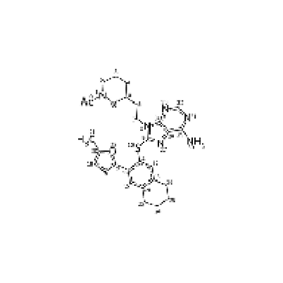 CC(=O)N1CCCC(CCn2c(Sc3cc4c(cc3-c3ccc(C)o3)CCCC4)nc3c(N)ncnc32)C1